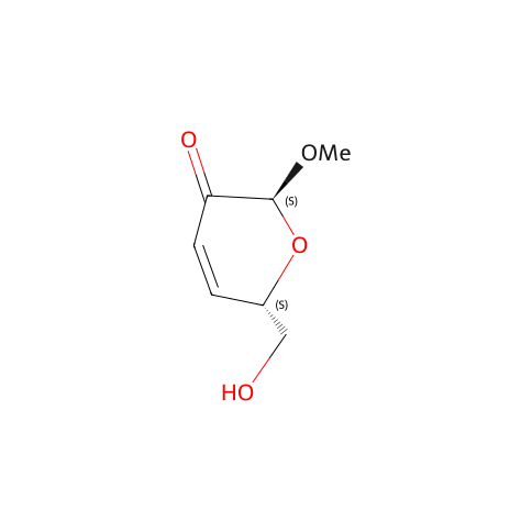 CO[C@H]1O[C@H](CO)C=CC1=O